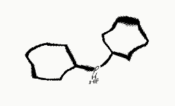 C1CCC(PC2CCCCC2)CC1.F